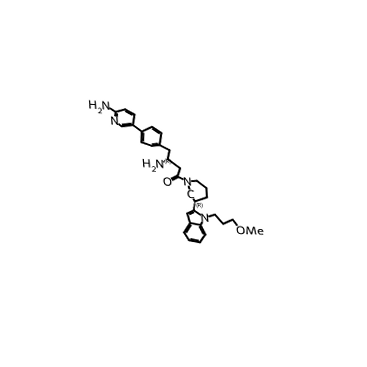 COCCCn1c([C@@H]2CCCN(C(=O)C[C@H](N)Cc3ccc(-c4ccc(N)nc4)cc3)C2)cc2ccccc21